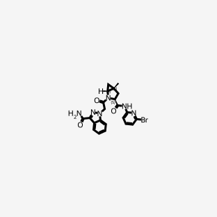 C[C@@]12C[C@@H](C(=O)Nc3cccc(Br)n3)N(C(=O)Cn3nc(C(N)=O)c4ccccc43)[C@@H]1C2